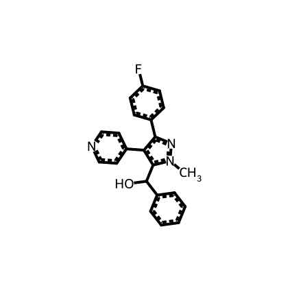 Cn1nc(-c2ccc(F)cc2)c(-c2ccncc2)c1C(O)c1ccccc1